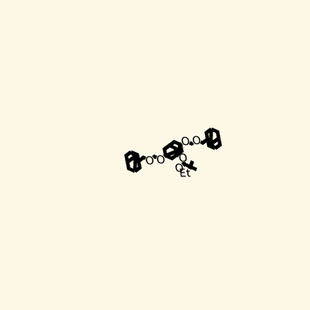 CCC(C)(C)C(=O)OC12CC3CC(OCOCC45CC6CC(CC(C6)C4)C5)(CC(OCOCC45CC6CC(CC(C6)C4)C5)(C3)C1)C2